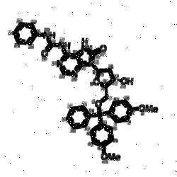 COc1ccc(C(OC[C@H]2O[C@@H](n3c(=O)[nH]c4c(NC(=O)Nc5ccccc5)ncnc43)C[C@@H]2O)(c2ccccc2)c2ccc(OC)cc2)cc1